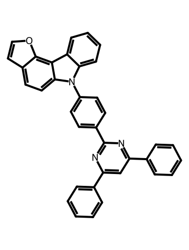 c1ccc(-c2cc(-c3ccccc3)nc(-c3ccc(-n4c5ccccc5c5c6occc6ccc54)cc3)n2)cc1